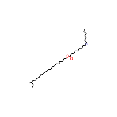 CCCCCC/C=C\CCCCCCCC(=O)OCCCCCCCCCCCCCCCCCCC(C)CC